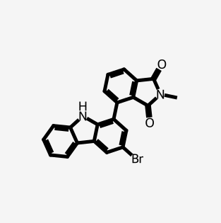 CN1C(=O)c2cccc(-c3cc(Br)cc4c3[nH]c3ccccc34)c2C1=O